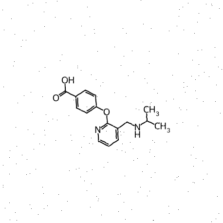 CC(C)NCc1cccnc1Oc1ccc(C(=O)O)cc1